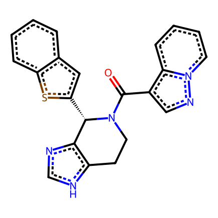 O=C(c1cnn2ccccc12)N1CCc2[nH]cnc2[C@@H]1c1cc2ccccc2s1